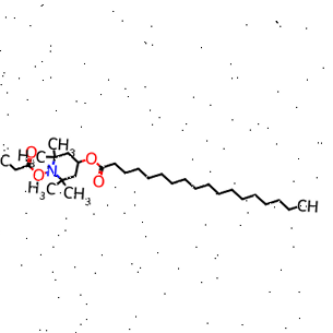 CCCCCCCCCCCCCCCCCC(=O)OC1CC(C)(C)N(OC(=O)CC)C(C)(C)C1